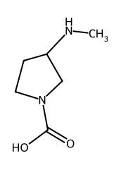 CNC1CCN(C(=O)O)C1